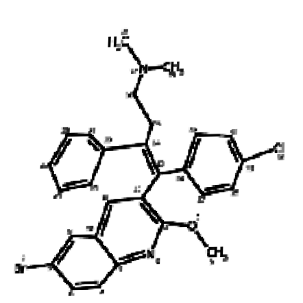 COc1nc2ccc(Br)cc2cc1/C(=C(/CCN(C)C)c1ccccc1)c1ccc(Cl)cc1